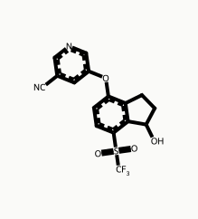 N#Cc1cncc(Oc2ccc(S(=O)(=O)C(F)(F)F)c3c2CCC3O)c1